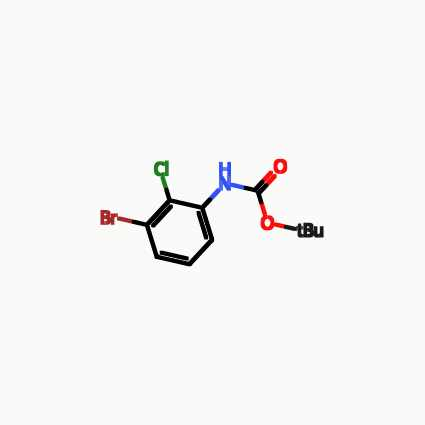 CC(C)(C)OC(=O)Nc1cccc(Br)c1Cl